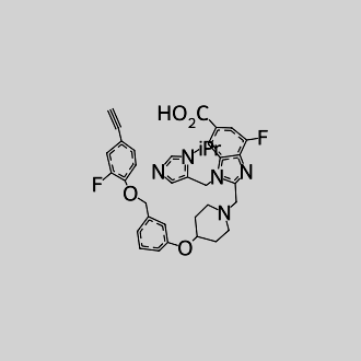 C#Cc1ccc(OCc2cccc(OC3CCN(Cc4nc5c(F)cc(C(=O)O)cc5n4Cc4cncn4C(C)C)CC3)c2)c(F)c1